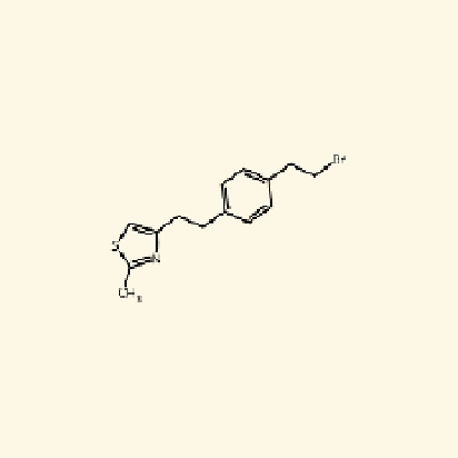 Cc1nc(CCc2ccc(CCBr)cc2)cs1